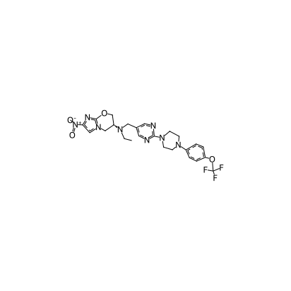 CCN(Cc1cnc(N2CCN(c3ccc(OC(F)(F)F)cc3)CC2)nc1)[C@@H]1COc2nc([N+](=O)[O-])cn2C1